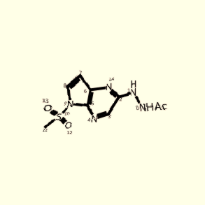 CC(=O)NNc1cnc2c(ccn2S(C)(=O)=O)n1